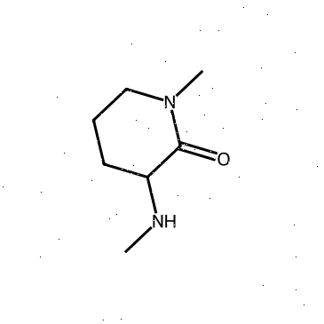 CNC1CCCN(C)C1=O